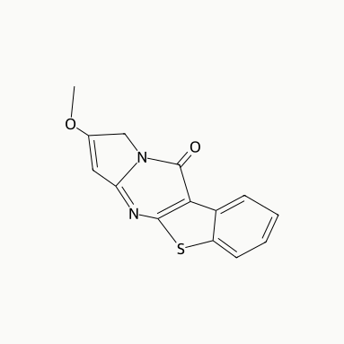 COC1=Cc2nc3sc4ccccc4c3c(=O)n2C1